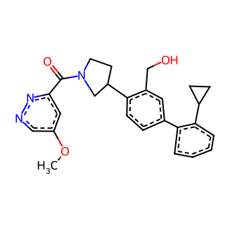 COc1cnnc(C(=O)N2CCC(c3ccc(-c4ccccc4C4CC4)cc3CO)C2)c1